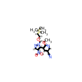 COc1ncc(C#N)cc1-c1c([N+](=O)[O-])cnn1COCCS(C)(C)C